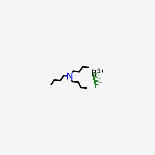 CCCCN(CCCC)CCCC.[B+3].[F-].[F-].[F-]